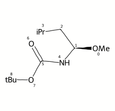 CO[C@H](CC(C)C)NC(=O)OC(C)(C)C